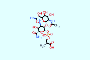 CC(=O)NC1[C@H](O[C@@H]2C(NOC=N)C(O)[C@@H](C(N)=O)O[C@H]2OP(=O)(O)OC[C@H](C)C(=O)O)OC(CO)[C@@H](O)[C@@H]1O